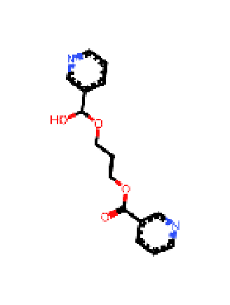 O=C(OCCCOC(O)c1cccnc1)c1cccnc1